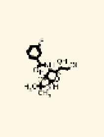 CC1(C)O[C@H]2O[C@H]([C@H](O)CO)[C@@H](NC(=O)c3cccc(F)c3)[C@H]2O1